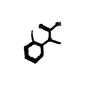 CN(C(=O)O)c1ccccc1I